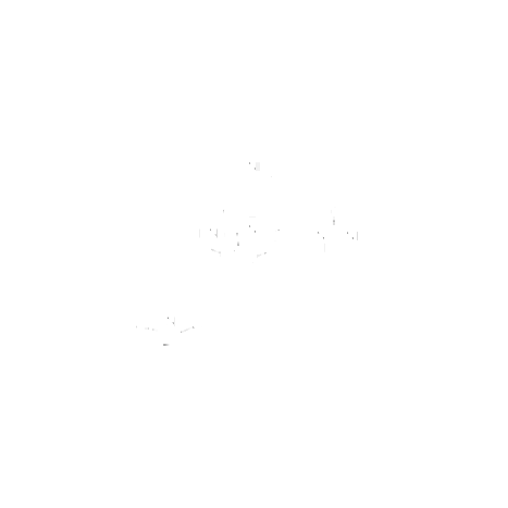 CC(=O)[C@H](CCCNC(N)=O)NC(=O)[C@H](CCCCN)NC(=O)CCCCCN1C(=O)C=CC1=O